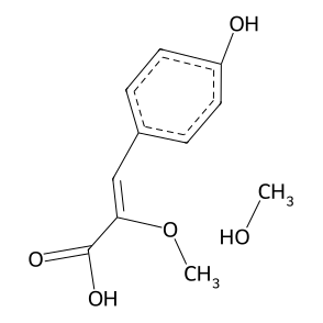 CO.CO/C(=C\c1ccc(O)cc1)C(=O)O